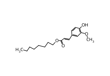 CCCCCCCCOC(=O)C=Cc1ccc(O)c(OC)c1